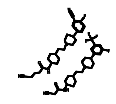 N#CCC(=O)NC1CCC(CCN2CCN(c3cc(F)cc(C(F)(F)F)c3)CC2)CC1.N#CCCCC(=O)NC1CCC(CCN2CCN(c3ccc(F)c(C#N)c3)CC2)CC1